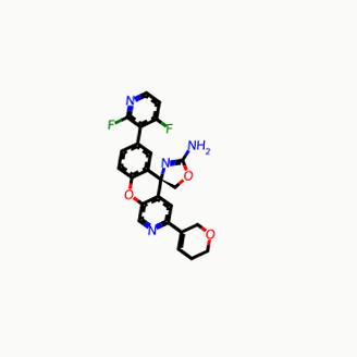 NC1=N[C@@]2(CO1)c1cc(-c3c(F)ccnc3F)ccc1Oc1cnc(C3=CCCOC3)cc12